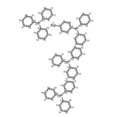 [Pd][c]1ccc(P(c2ccccc2)c2ccccc2)cc1.c1ccc(P(c2ccccc2)c2ccccc2)cc1.c1ccc(P(c2ccccc2)c2ccccc2)cc1.c1ccc(P(c2ccccc2)c2ccccc2)cc1